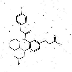 CC(C)CN(c1ccc(OCC(=O)O)cc1NC(=O)Cc1ccc(F)cc1)C1CCCCC1